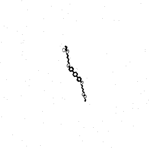 C=CCOOCCCCCCOc1ccc(C2CCC(c3ccc(OCCCCCCOC(=O)C=C)cc3)CC2)cc1